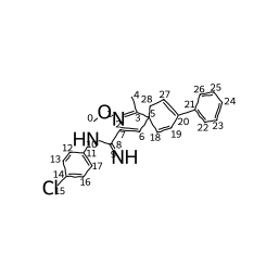 CON=C(C)C1(C=CC(=N)Nc2ccc(Cl)cc2)C=CC(c2ccccc2)=CC1